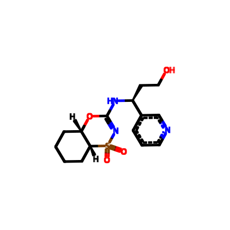 O=S1(=O)N=C(N[C@@H](CCO)c2cccnc2)O[C@H]2CCCC[C@H]21